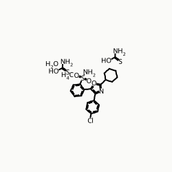 C.NC(O)=S.NC(O)=S.NS(=O)(=O)c1ccccc1-c1oc(C2CCCCC2)nc1-c1ccc(Cl)cc1.O